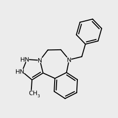 CC1=C2c3ccccc3N(Cc3ccccc3)CCN2NN1